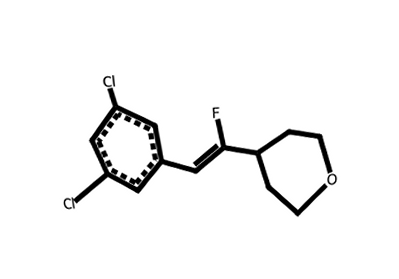 F/C(=C\c1cc(Cl)cc(Cl)c1)C1CCOCC1